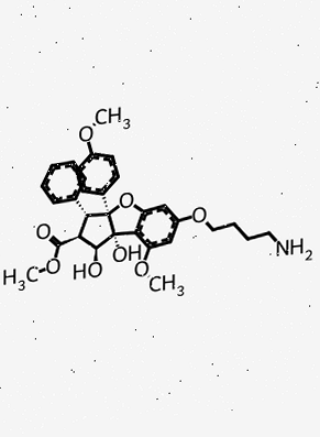 COC(=O)[C@@H]1[C@H](O)[C@]2(O)c3c(OC)cc(OCCCCN)cc3O[C@]2(c2ccc(OC)cc2)[C@H]1c1ccccc1